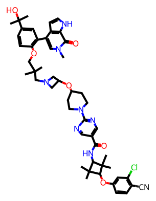 Cn1cc(-c2cc(C(C)(C)O)ccc2OCC(C)(C)CN2CC(OC3CCN(c4ncc(C(=O)NC5C(C)(C)C(Oc6ccc(C#N)c(Cl)c6)C5(C)C)cn4)CC3)C2)c2cc[nH]c2c1=O